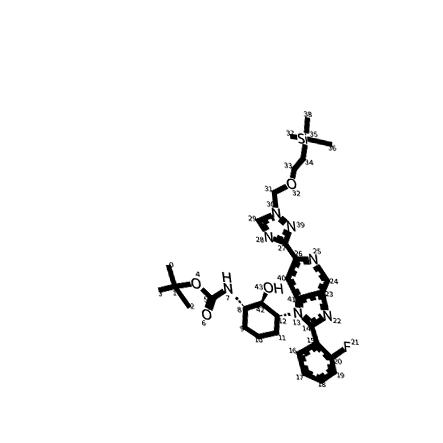 CC(C)(C)OC(=O)N[C@H]1CCC[C@@H](n2c(-c3ccccc3F)nc3cnc(-c4ncn(COCC[Si](C)(C)C)n4)cc32)[C@@H]1O